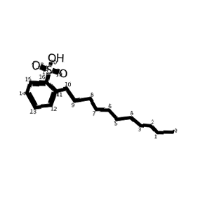 CCCCCCCCCCCc1ccccc1S(=O)(=O)O